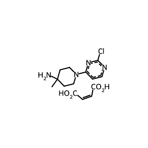 CC1(N)CCN(c2ccnc(Cl)n2)CC1.O=C(O)/C=C\C(=O)O